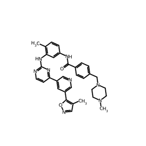 Cc1ccc(NC(=O)c2ccc(CN3CCN(C)CC3)cc2)cc1Nc1nccc(-c2cncc(-c3oncc3C)c2)n1